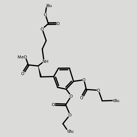 CCC(C)OC(=O)OCCN[C@@H](Cc1ccc(OC(=O)OCC(C)(C)C)c(OC(=O)OCC(C)(C)C)c1)C(=O)OC